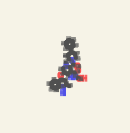 CC1CC(O[C@H]2C[C@H](C(=O)NO)[C@@H](C(=O)N3CCC(c4ccccc4)CC3)N(C)C2)c2ccccc2N1